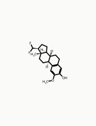 COc1cc2c(cc1O)CC[C@@H]1[C@@H]2CC[C@]2(C)[C@@H](C(F)F)CC[C@@H]12